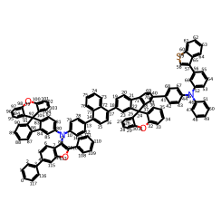 c1ccc(-c2ccc3c(N(c4ccc(-c5ccc(-c6ccc7c(c6)C6(c8ccccc8Oc8ccccc86)c6cc(-c8ccc(N(c9ccccc9)c9cccc(-c%10csc%11ccccc%10%11)c9)cc8)ccc6-7)c6ccccc56)cc4)c4ccc5c(c4)-c4ccccc4C54c5ccccc5Oc5ccccc54)c(-c4ccccc4)oc3c2)cc1